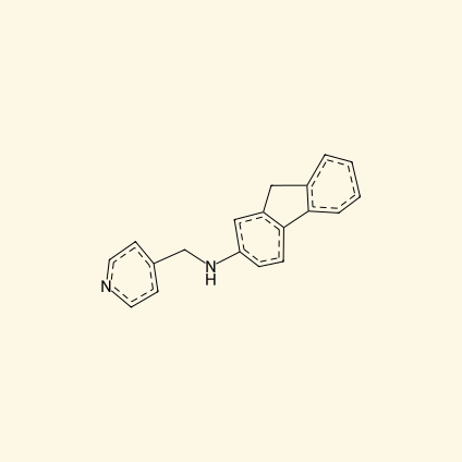 c1ccc2c(c1)Cc1cc(NCc3ccncc3)ccc1-2